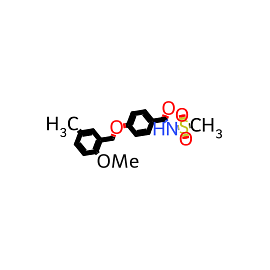 COc1ccc(C)cc1COc1ccc(C(=O)NS(C)(=O)=O)cc1